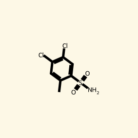 Cc1cc(Cl)c(Cl)cc1S(N)(=O)=O